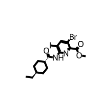 CC[C@H]1CC[C@H](C(=O)Nc2nc(C(=O)OC)c(Br)cc2I)CC1